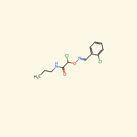 CCCNC(=O)C(Cl)ON=Cc1ccccc1Cl